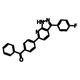 O=C(c1ccccc1)c1ccc(-c2ccc3c(-c4ccc(F)cc4)n[nH]c3n2)cc1